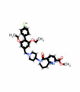 CCOc1cc(CN2CCC(N3CCCc4nc(C(=O)OC)ccc4C3=O)CC2)cc(OCC)c1-c1ccc(F)cc1